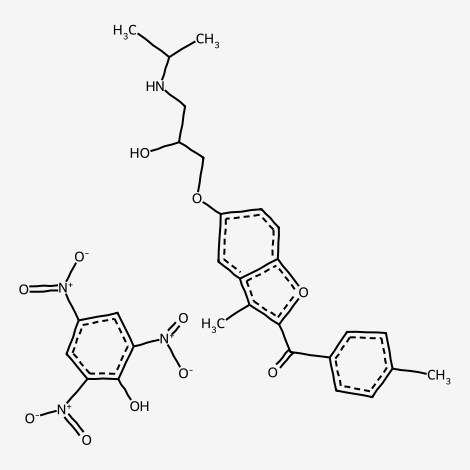 Cc1ccc(C(=O)c2oc3ccc(OCC(O)CNC(C)C)cc3c2C)cc1.O=[N+]([O-])c1cc([N+](=O)[O-])c(O)c([N+](=O)[O-])c1